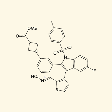 COC(=O)C1CN(c2cccc(-c3c(-c4ccsc4/C=N/O)c4cc(F)ccc4n3S(=O)(=O)c3ccc(C)cc3)c2)C1